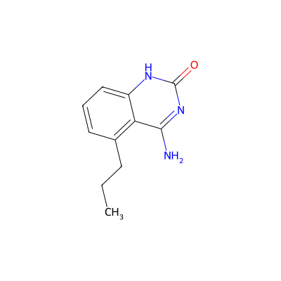 CCCc1cccc2[nH]c(=O)nc(N)c12